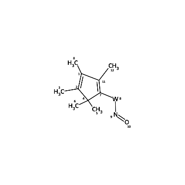 CC1=C(C)C(C)(C)[C]([W][N]=O)=C1C